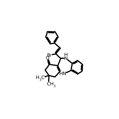 CC1(C)CC(=O)C2=C(C1)Nc1ccccc1NC2C(Br)=Cc1ccccc1